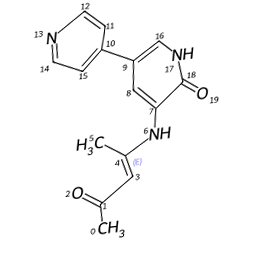 CC(=O)/C=C(\C)Nc1cc(-c2ccncc2)c[nH]c1=O